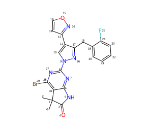 CC1(C)C(=O)Nc2nc(-n3cc(-c4ccon4)c(Cc4ccccc4F)n3)nc(Br)c21